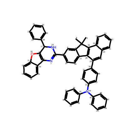 CC1(C)c2cc(C3=Nc4c(oc5ccccc45)C(c4ccccc4)N3)ccc2-c2c(-c3ccc(N(c4ccccc4)c4ccccc4)cc3)cc3ccccc3c21